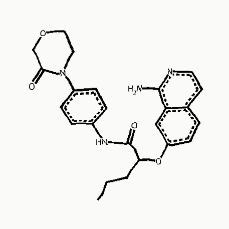 CCCC(Oc1ccc2ccnc(N)c2c1)C(=O)Nc1ccc(N2CCOCC2=O)cc1